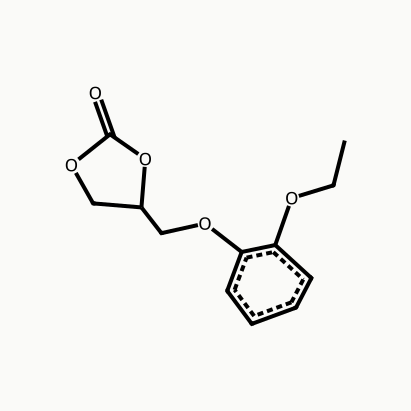 CCOc1ccccc1OCC1COC(=O)O1